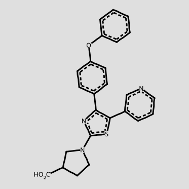 O=C(O)C1CCN(c2nc(-c3ccc(Oc4ccccc4)cc3)c(-c3cccnc3)s2)C1